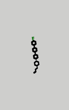 C=CCC[C@H]1CC[C@H](c2ccc(-c3ccc(-c4ccc(F)cc4)cc3)cc2)CC1